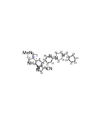 CN/C(C)=C(\C(C)=N)c1cc(-c2ccc(N3CCN(Cc4ccccc4)CC3)nc2)c2c(C#N)cnn2c1